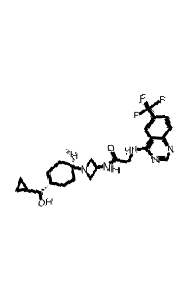 [2H][C@]1(N2CC(NC(=O)CNc3ncnc4ccc(C(F)(F)F)cc34)C2)CC[C@H](C(O)C2CC2)CC1